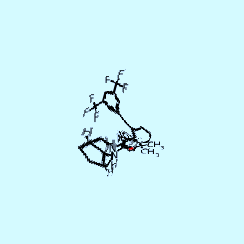 CC(C)(C)OC(=O)N1C[C@H]2CC[C@@H](C1)[C@@H]2Nc1nc2n(n1)CCCC2c1cc(C(F)(F)F)cc(C(F)(F)F)c1